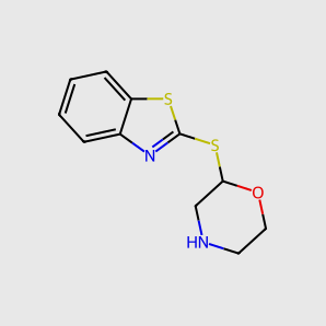 c1ccc2sc(SC3CNCCO3)nc2c1